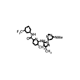 CNc1cc(-n2nc(C)cc2Nc2nc(C(=O)Nc3cccc(C(F)(F)F)c3)ccc2C)ncn1